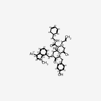 C=CCN1CC(=O)N2[C@@H](Cc3ccc(O)cc3)C(=O)N(Cc3cccc4c(C(C)=O)cn(C)c34)C[C@@H]2N1C(=O)NCC1C=CC=CC1